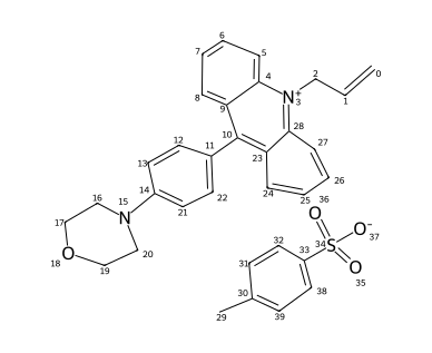 C=CC[n+]1c2ccccc2c(-c2ccc(N3CCOCC3)cc2)c2ccccc21.Cc1ccc(S(=O)(=O)[O-])cc1